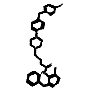 Cc1cccc(Cc2ccccc2)c1NC(=O)CCCN1CCN(c2ccc(Cc3ccc(F)cc3)cc2)CC1